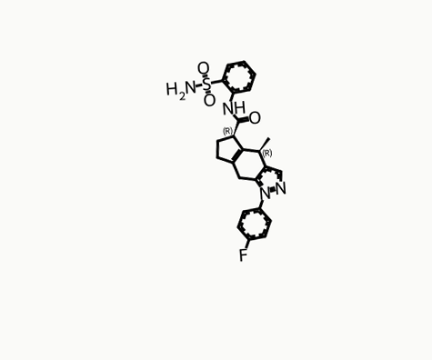 C[C@@H]1C2=C(CC[C@H]2C(=O)Nc2ccccc2S(N)(=O)=O)Cc2c1cnn2-c1ccc(F)cc1